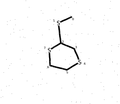 CSC1CSCCS1